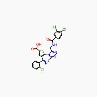 O=C(NCc1nnc2n1-c1sc(C(=O)O)cc1C(c1ccccc1Cl)=NC2)c1ccc(Cl)c(Cl)c1